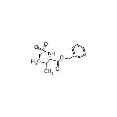 CC(C)[C@H](NS(=O)(=O)F)C(=O)OCc1ccccc1